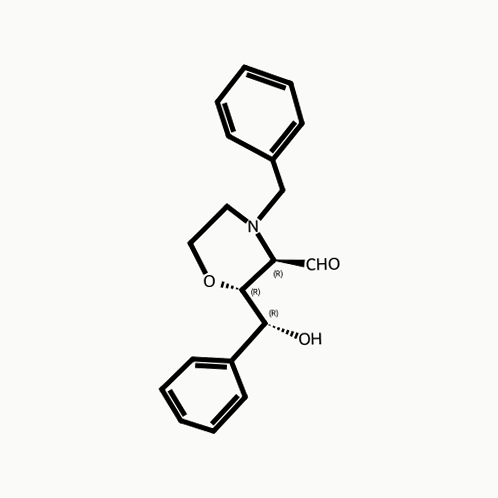 O=C[C@H]1[C@H]([C@H](O)c2ccccc2)OCCN1Cc1ccccc1